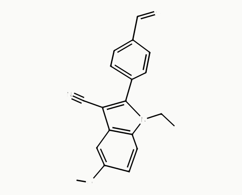 CCn1c(-c2ccc(C=O)cc2)c(C#N)c2cc(OC)ccc21